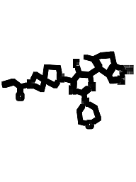 C=CC(=O)N1CC2(CCN(c3nc(N4CCOCC4)nc(-c4c(C)ccc5[nH]ncc45)c3F)C2)C1